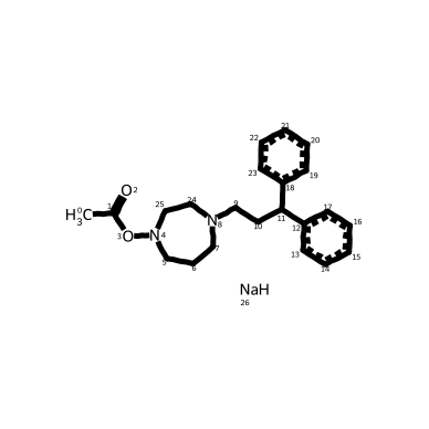 CC(=O)ON1CCCN(CCC(c2ccccc2)c2ccccc2)CC1.[NaH]